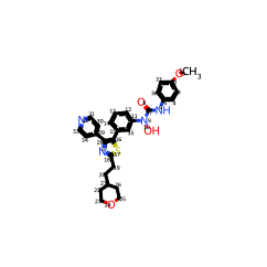 COc1ccc(NC(=O)N(O)c2cccc(-c3sc(CCC4CCOCC4)nc3-c3ccncc3)c2)cc1